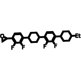 CCC1CCC(c2ccc(C3CCC(c4ccc(C5CO5)c(F)c4F)CC3)c(F)c2F)CC1